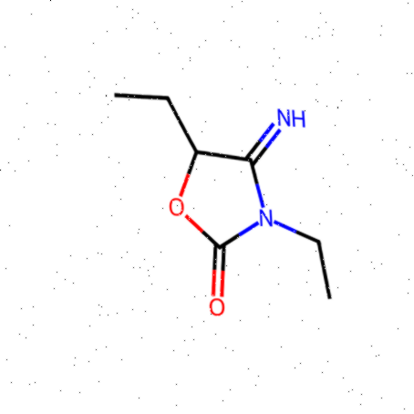 CCC1OC(=O)N(CC)C1=N